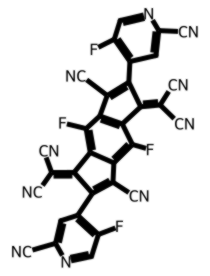 N#CC(C#N)=C1C(c2cc(C#N)ncc2F)=C(C#N)c2c(F)c3c(c(F)c21)C(C#N)=C(c1cc(C#N)ncc1F)C3=C(C#N)C#N